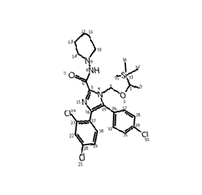 CC(OCn1c(C(=O)NN2CCCCC2)nc(-c2ccc(Cl)cc2Cl)c1-c1ccc(Cl)cc1)[Si](C)(C)C